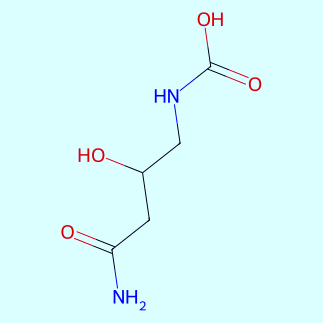 NC(=O)CC(O)CNC(=O)O